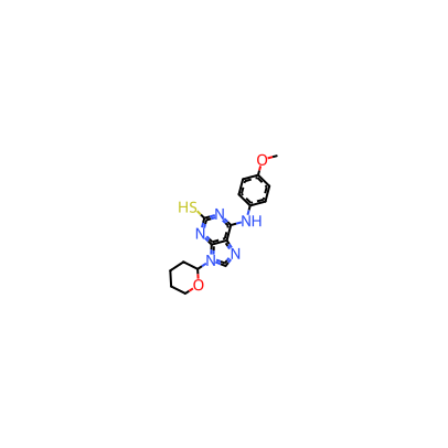 COc1ccc(Nc2nc(S)nc3c2ncn3C2CCCCO2)cc1